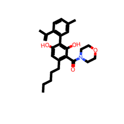 C=C(C)c1ccc(C)cc1-c1c(O)cc(CCCCC)c(C(=O)N2CCOCC2)c1O